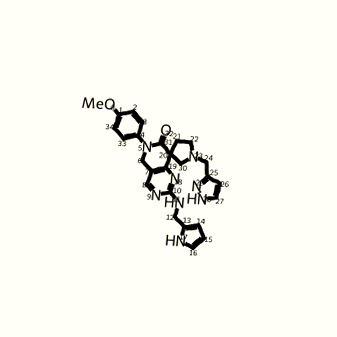 COc1ccc(N2Cc3cnc(NCc4ccc[nH]4)nc3C3(CCN(Cc4cc[nH]n4)C3)C2=O)cc1